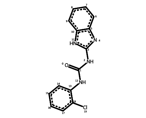 O=C(Nc1nc2ccccc2[nH]1)Nc1ccccc1Cl